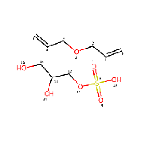 C=CCOCC=C.O=S(=O)(O)OCC(O)CO